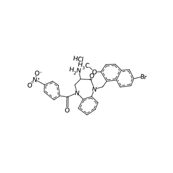 COc1ccc2cc(Br)ccc2c1CN1C(=O)C(N)CN(C(=O)c2ccc([N+](=O)[O-])cc2)c2ccccc21.Cl